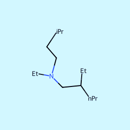 CCCC(CC)CN(CC)CCC(C)C